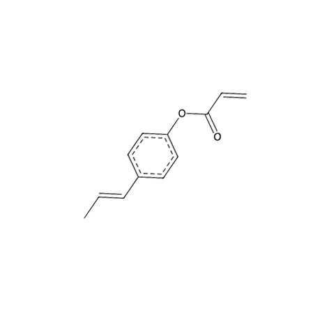 C=CC(=O)Oc1ccc(C=CC)cc1